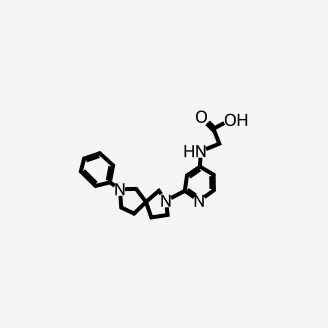 O=C(O)CNc1ccnc(N2CCC3(CCN(c4ccccc4)C3)C2)c1